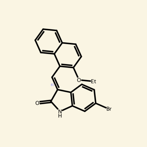 CCOc1ccc2ccccc2c1/C=C1/C(=O)Nc2cc(Br)ccc21